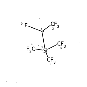 F[C](C(F)(F)F)[Si](C(F)(F)F)(C(F)(F)F)C(F)(F)F